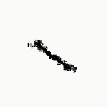 C=C(C)C(=O)OCCCNC(=O)OCCOCCOc1ccc(CCOC(=O)NCCCOC(=O)C(=C)C)cc1